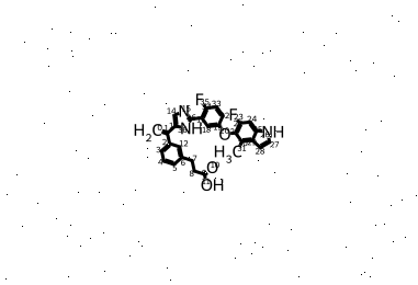 C=C(c1cccc(CCC(=O)O)c1)c1cnc(-c2cc(Oc3c(F)cc4[nH]ccc4c3C)ccc2F)[nH]1